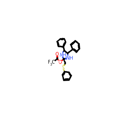 O=C(OC1(CSc2ccccc2)NC(c2ccccc2)C(c2ccccc2)N1)C(F)(F)F